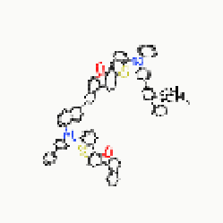 CC1(C)c2ccccc2-c2ccc(-c3ccc(N(c4ccccc4)c4cccc5c4sc4ccc6c(oc7ccc8cc(-c9ccc%10c(N(c%11ccc(-c%12ccccc%12)cc%11)c%11cccc%12c%11sc%11ccc%13c(oc%14ccc%15ccccc%15c%14%13)c%11%12)cccc%10c9)ccc8c76)c45)cc3)cc21